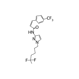 CC(F)(F)CCCCn1ccc(NC(=O)/C=C\c2ccc(C(F)(F)F)cc2)n1